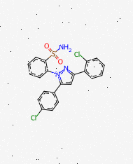 NS(=O)(=O)c1ccccc1-n1nc(-c2ccccc2Cl)cc1-c1ccc(Cl)cc1